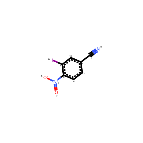 N#Cc1ccc([N+](=O)[O-])c(I)c1